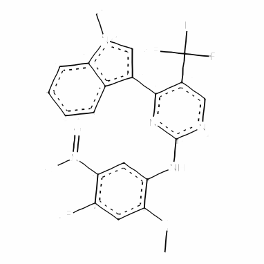 COc1cc(F)c([N+](=O)[O-])cc1Nc1ncc(C(F)(F)F)c(-c2cn(C)c3ccccc23)n1